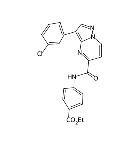 CCOC(=O)c1ccc(NC(=O)c2ccn3ncc(-c4cccc(Cl)c4)c3n2)cc1